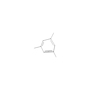 Fc1[c]c(F)cc(F)c1